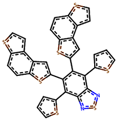 c1csc(-c2c(-c3cc4c(ccc5sccc54)s3)c(-c3cc4c(ccc5sccc54)s3)c(-c3cccs3)c3nsnc23)c1